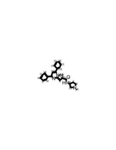 CN1CCC(NC(=O)c2cc3nc(-c4ccccc4)cc(-c4ccccc4)n3n2)C1